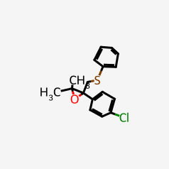 CC1(C)OC1(CSc1ccccc1)c1ccc(Cl)cc1